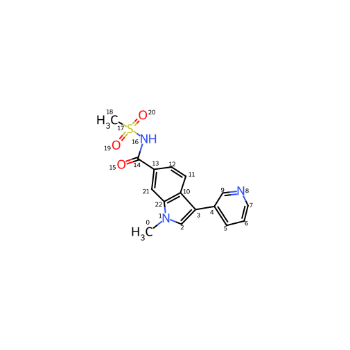 Cn1cc(-c2cccnc2)c2ccc(C(=O)NS(C)(=O)=O)cc21